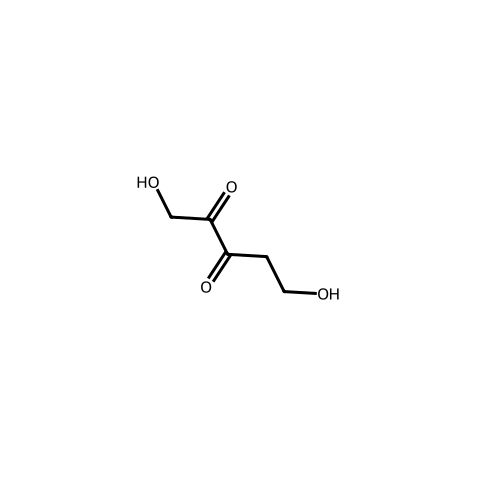 O=C(CO)C(=O)CCO